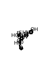 O=C(O)C(F)(F)F.O=S(=O)(NCCN1CCCC1)c1ccc(Nc2nccc(Nc3cccc(O)c3)n2)cc1